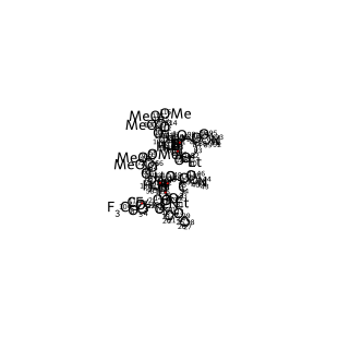 CC1(C)C(/C=C\C(=O)OC(C(F)(F)F)C(F)(F)F)C1C(=O)OC(C#N)c1cccc(Oc2ccccc2)c1.CC[C@H]1CCC[C@H](O[C@H]2CC[C@H](N(C)C)[C@@H](C)O2)[C@@H](C)C(=O)C2=C[C@@H]3[C@@H](C=C(C)[C@@H]4C[C@@H](O[C@@H]5O[C@@H](C)[C@H](OC)[C@@H](OC)[C@H]5OC)C[C@@H]34)[C@@H]2CC(=O)O1.CC[C@H]1CCC[C@H](O[C@H]2CC[C@H](N(C)C)[C@@H](C)O2)[C@@H](C)C(=O)C2=C[C@@H]3[C@@H](C=C[C@@H]4C[C@@H](O[C@@H]5O[C@@H](C)[C@H](OC)[C@@H](OC)[C@H]5OC)C[C@@H]34)[C@@H]2CC(=O)O1